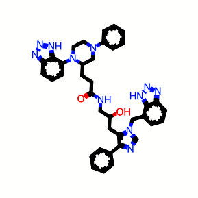 O=C(CCC1CN(c2ccccc2)CCN1c1cccc2nn[nH]c12)NCC(O)Cc1c(-c2ccccc2)ncn1Cc1cccc2nn[nH]c12